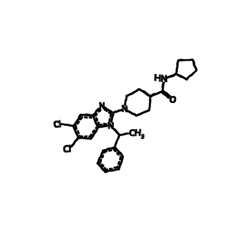 CC(c1ccccc1)n1c(N2CCC(C(=O)NC3CCCC3)CC2)nc2cc(Cl)c(Cl)cc21